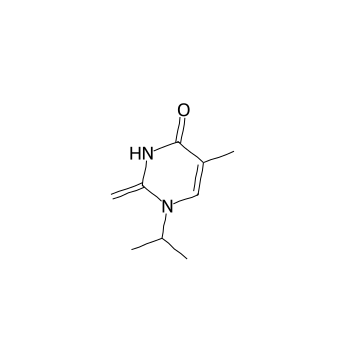 C=C1NC(=O)C(C)=CN1C(C)C